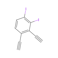 C#Cc1ccc(I)c(I)c1C#C